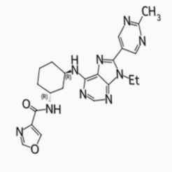 CCn1c(-c2cnc(C)nc2)nc2c(N[C@@H]3CCC[C@@H](NC(=O)c4cocn4)C3)ncnc21